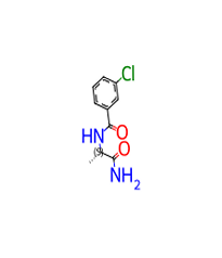 C[C@H](NC(=O)c1cccc(Cl)c1)C(N)=O